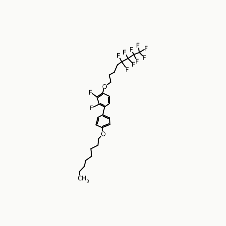 CCCCCCCCOc1ccc(-c2ccc(OCCCCC(F)(F)C(F)(F)C(F)(F)C(F)(F)F)c(F)c2F)cc1